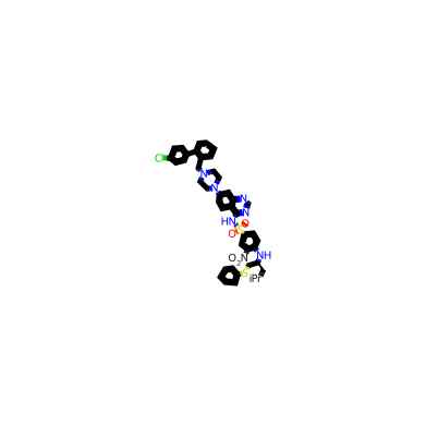 CC(C)C[C@@H](CSc1ccccc1)Nc1ccc(S(=O)(=O)Nc2ncnc3cc(N4CCN(Cc5ccccc5-c5ccc(Cl)cc5)CC4)ccc23)cc1[N+](=O)[O-]